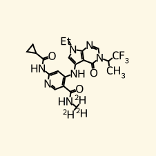 [2H]C([2H])([2H])NC(=O)c1cnc(NC(=O)C2CC2)cc1Nc1cn(CC)c2ncn(C(C)C(F)(F)F)c(=O)c12